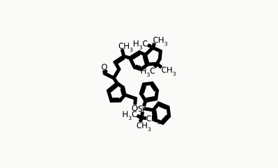 C/C(=C/CC(C=O)c1cccc(CO[Si](c2ccccc2)(c2ccccc2)C(C)(C)C)c1)c1ccc2c(c1)C(C)(C)CCC2(C)C